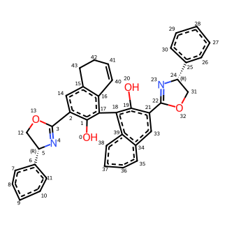 Oc1c(C2=N[C@H](c3ccccc3)CO2)cc2c(c1-c1c(O)c(C3=N[C@H](c4ccccc4)CO3)cc3ccccc13)C=CCC2